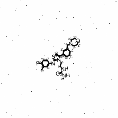 CNC(=O)NCCn1c(-c2cccc(CN3CCOCC3)c2)cs/c1=N\c1ccc(F)c(C)c1